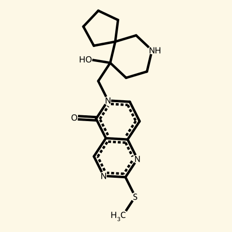 CSc1ncc2c(=O)n(CC3(O)CCNCC34CCCC4)ccc2n1